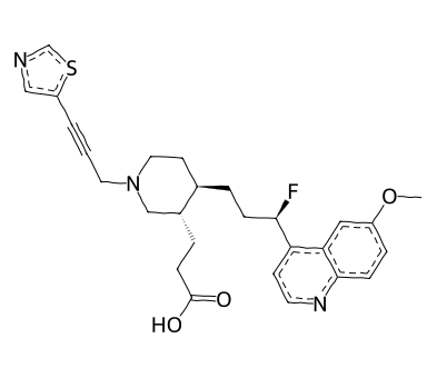 COc1ccc2nccc([C@H](F)CC[C@@H]3CCN(CC#Cc4cncs4)C[C@H]3CCC(=O)O)c2c1